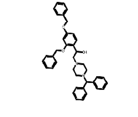 OC(CN1CCN(C(c2ccccc2)c2ccccc2)CC1)c1ccc(OCc2ccccc2)cc1OCc1ccccc1